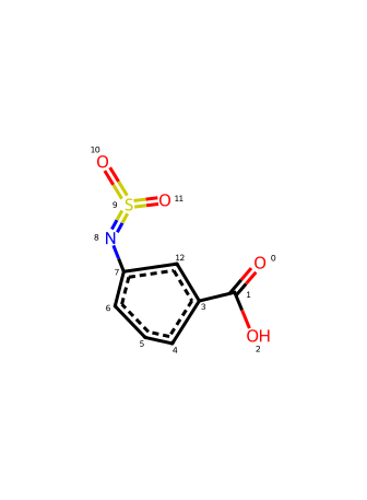 O=C(O)c1cccc(N=S(=O)=O)c1